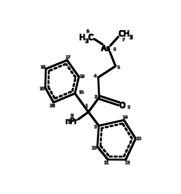 CCCC(C(=O)CC[As](C)C)(c1ccccc1)c1ccccc1